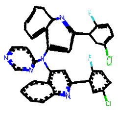 FC1=CC=C(Cl)CC1C1=NC2CC=CC=C2C(N(c2ccncn2)c2cc(-c3cc(Cl)ccc3F)nc3ccccc23)=C1